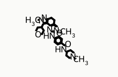 COc1cc(C(=O)NC2CCN(C)CC2)ccc1Nc1ncc2c(n1)-c1c(nn(C)c1C1CCOCC1)CC2